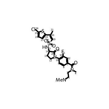 CNCCN(C)C(=O)c1ccc(N2CCC(NS(=O)(=O)/C=C(/C)c3ccc(Cl)s3)C2=O)c(F)c1